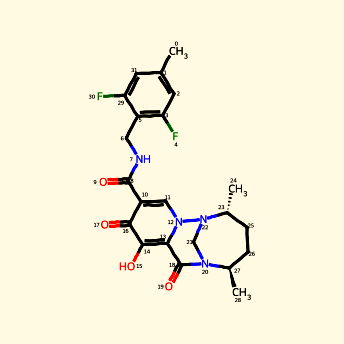 Cc1cc(F)c(CNC(=O)c2cn3c(c(O)c2=O)C(=O)N2CN3[C@H](C)CC[C@H]2C)c(F)c1